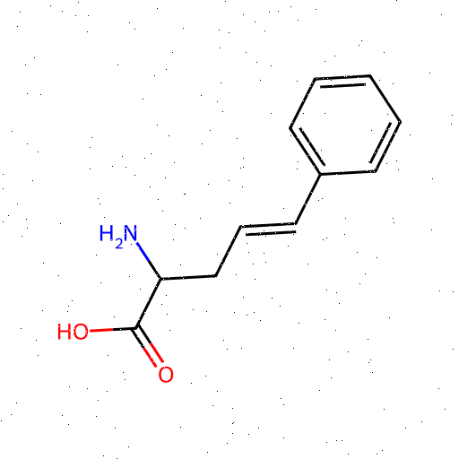 NC(CC=Cc1ccccc1)C(=O)O